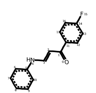 O=C(C=CNc1ccccc1)c1ccc(F)cc1